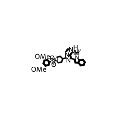 COc1ccc(OC)c(S(=O)(=O)N2CCC(c3nc(-c4cc5ccccc5[nH]4)c4c(N)nccn34)CC2)c1